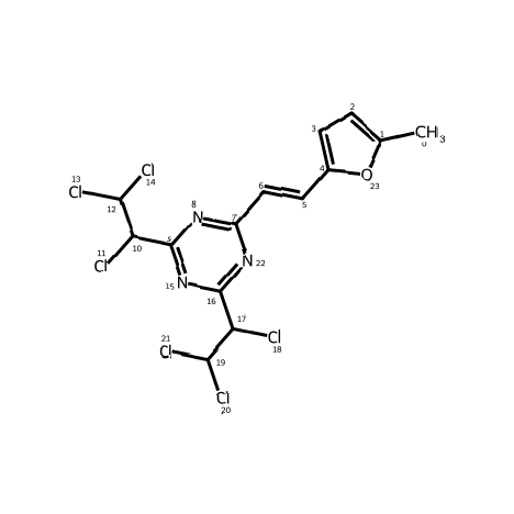 Cc1ccc(C=Cc2nc(C(Cl)C(Cl)Cl)nc(C(Cl)C(Cl)Cl)n2)o1